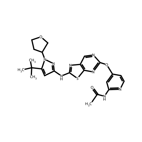 CC(=O)Nc1cc(Oc2ncc3nc(Nc4cc(C(C)(C)C)n(C5CCOC5)n4)sc3n2)ccn1